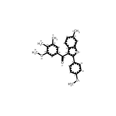 COc1ccc(-c2oc3cc(C)ccc3c2C(=O)c2cc(C)c(C)c(OC)c2)cc1